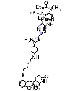 CCCC(CC)N1c2nc(NC(=C/C=C/C=C/N(N)C3CCC(NCCCCCC#Cc4cccc(C=O)c4CN(C)C4CCC(=O)NC4=O)CC3)/C(=C\N)OC)ncc2N(C)C(=O)[C@H]1CC